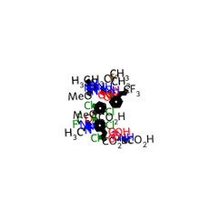 CCOC(=O)C(Cl)Cc1cc(-n2nc(C)n(C(F)F)c2=O)c(F)cc1Cl.COc1c(Cl)ccc(Cl)c1C(=O)O.COc1nc(C)nc(NC(=O)NS(=O)(=O)c2ccccc2CCC(F)(F)F)n1.C[S+](C)C.O=C(O)CNCP(=O)([O-])O